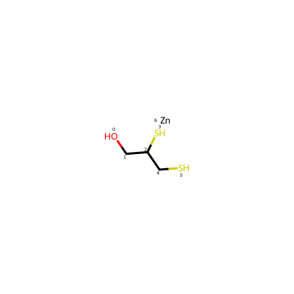 OCC(S)CS.[Zn]